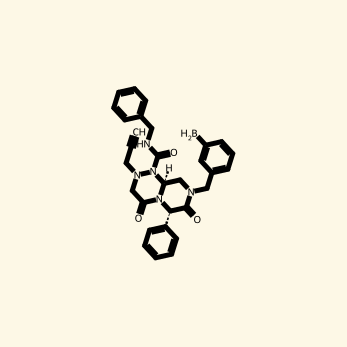 Bc1cccc(CN2C[C@H]3N(C(=O)CN(CC#C)N3C(=O)NCc3ccccc3)[C@@H](c3ccccc3)C2=O)c1